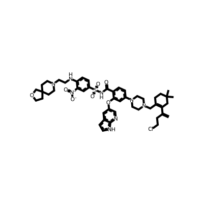 C=C(CCCl)C1=C(CN2CCN(c3ccc(C(=O)NS(=O)(=O)c4ccc(NCCN5CCC6(CCOC6)CC5)c([N+](=O)[O-])c4)c(Oc4cnc5[nH]ccc5c4)c3)CC2)CCC(C)(C)C1